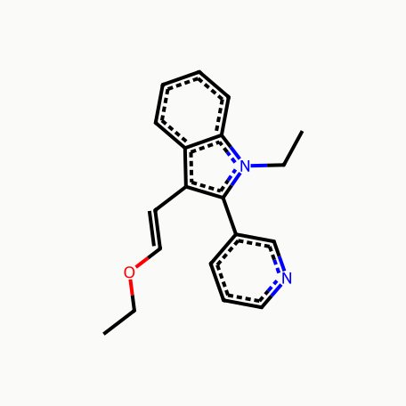 CCOC=Cc1c(-c2cccnc2)n(CC)c2ccccc12